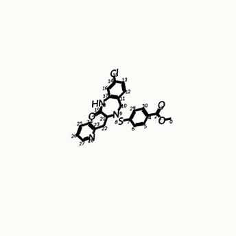 COC(=O)c1ccc(SN2Cc3ccc(Cl)cc3NC(=O)C2Cc2ccccn2)cc1